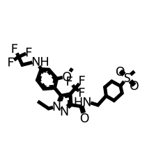 CCn1nc(C(=O)NCC2CCC(S(C)(=O)=O)CC2)c(C(F)(F)F)c1-c1ccc(NCC(F)(F)F)cc1OC